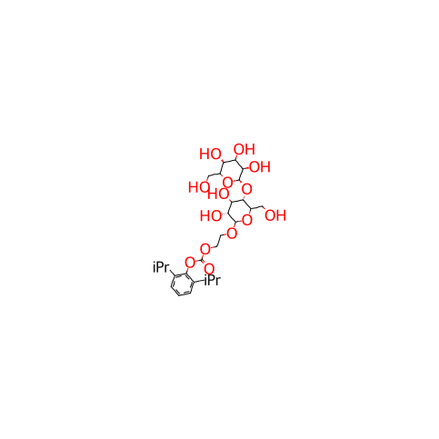 CC(C)c1cccc(C(C)C)c1OC(=O)OCCOC1OC(CO)[C@@H](O[C@H]2OC(CO)[C@@H](O)C(O)[C@H]2O)C(O)[C@H]1O